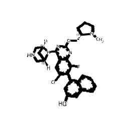 CN1CCC[C@H]1COc1nc(N2[C@@H]3CNC[C@@H]2C3)c2cc(Cl)c(-c3cc(O)cc4ccccc34)c(F)c2n1